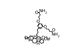 C[C@]12CCC(=O)CC1CC[C@@H]1[C@H]2C(CCCc2cc(OCCCC(N)=O)cc(OCCCC(N)=O)c2)C[C@]2(C)C(O)CC[C@@H]12